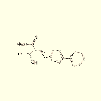 COC(=O)C(NCc1ccc(-c2ccccc2)cc1)C(C)O